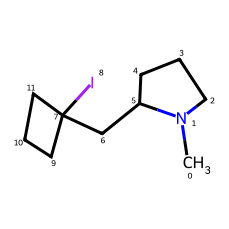 CN1CCCC1CC1(I)CCC1